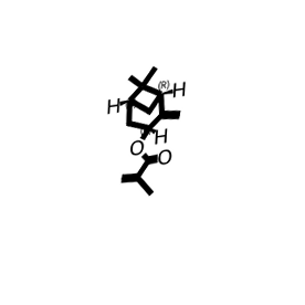 C=C(C)C(=O)O[C@@H]1C[C@H]2C[C@@H](C1=C)C2(C)C